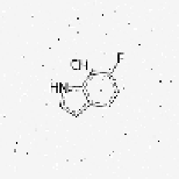 C.Fc1ccc2cc[nH]c2c1